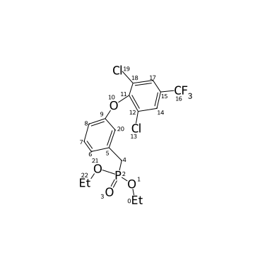 CCOP(=O)(Cc1cccc(Oc2c(Cl)cc(C(F)(F)F)cc2Cl)c1)OCC